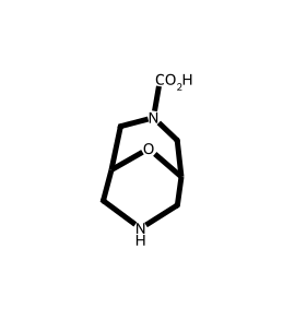 O=C(O)N1CC2CNCC(C1)O2